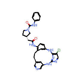 O=C(C[C@@H]1CCN(C(=O)Nc2ccccc2)C1)Nc1ccc2cc1CCc1cncc(c1)Nc1ncc(Cl)c(n1)N2